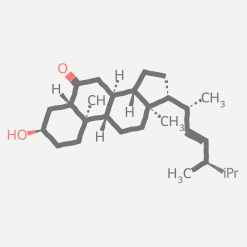 CC(C)[C@@H](C)/C=C/[C@@H](C)[C@H]1CC[C@H]2[C@@H]3CC(=O)[C@H]4C[C@H](O)CC[C@]4(C)[C@H]3CC[C@]12C